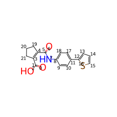 O=C(O)C1=C(C(=O)Nc2ccc(-c3cccs3)cc2)CCC1